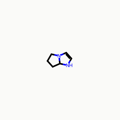 C1=CN2CCCC2N1